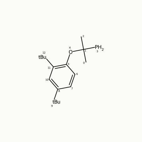 CC(C)(P)Oc1ccc(C(C)(C)C)cc1C(C)(C)C